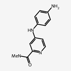 CNC(=O)c1cc(Nc2ccc(N)cc2)ccn1